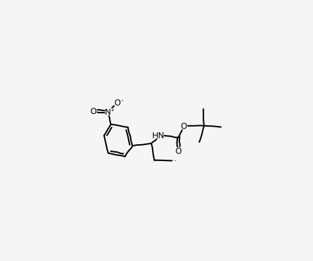 [CH2]CC(NC(=O)OC(C)(C)C)c1cccc([N+](=O)[O-])c1